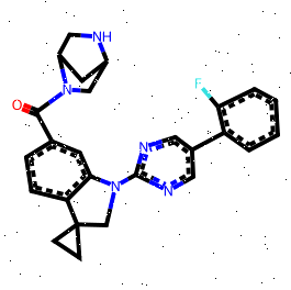 O=C(c1ccc2c(c1)N(c1ncc(-c3ccccc3F)cn1)CC21CC1)N1CC2CC1CN2